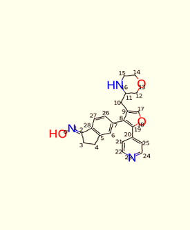 ON=C1CCc2cc(-c3c(CC4COCCN4)coc3-c3ccncc3)ccc21